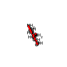 CC(=O)N(O)CCCCCNC(=O)CCC(=O)N(O)CCCCCNC(=O)CCC(=O)N(O)CCCCCN.CCC(N)=O